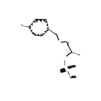 C=CS(=O)(=O)NC(CSCc1ccc(OC)cc1)C(=O)O